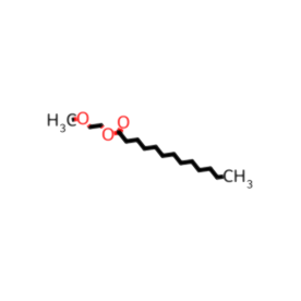 CCCCCCCCCCCCC(=O)OCCOC